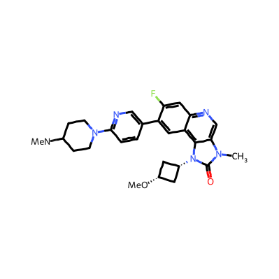 CNC1CCN(c2ccc(-c3cc4c(cc3F)ncc3c4n([C@H]4C[C@@H](OC)C4)c(=O)n3C)cn2)CC1